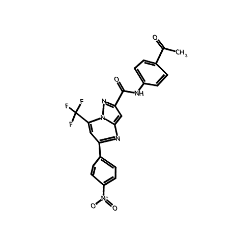 CC(=O)c1ccc(NC(=O)c2cc3nc(-c4ccc([N+](=O)[O-])cc4)cc(C(F)(F)F)n3n2)cc1